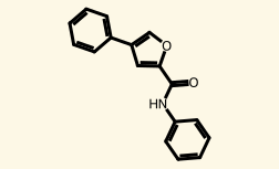 O=C(Nc1ccccc1)c1cc(-c2ccccc2)co1